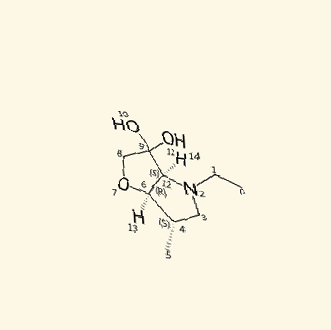 CCN1C[C@H](C)[C@H]2OCC(O)(O)[C@H]21